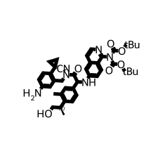 Cc1cc(C(Nc2ccc3c(N(C(=O)OC(C)(C)C)C(=O)OC(C)(C)C)nccc3c2)C(=O)N(C)Cc2cc(N)ccc2C2(C#N)CC2)ccc1[C@@H](C)CO